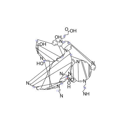 N#C/C=C/N1C=C2C3=C4C5=C6C/C7=C8\C9=NC%10/C%11=C%12\Cc%13c6c3c3/c(ncc6c3c%13C(C%12)/C(=C\c3cc(O)c%12c(c3)C%11=C3/C(=C\C%11=C%13/C%14=CC(/C9=C9/c%15c8c8c%16c(cc%17c%18c(c%19cn(C/C=C/C=N)c%20c%21ccc%22c(c%21cc9c%20n-%19c%15C%18%16)C%14C(=N%11)C=C%22)C=CN%17/C=C/C#N)N=C9C(C(=O)O)=C(/C=C\41)C5=C7C98)N%10C3%13)N%12C/C=C/CC(=O)O)C=6O)=C\2O